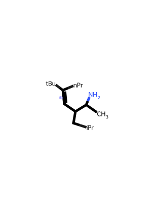 CCC/C(=C\C(CC(C)C)C(C)N)C(C)(C)C